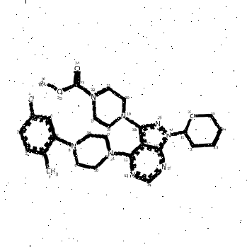 Cc1ccc(Cl)cc1N1CCN(c2ncnc3c2c(N2CCN(C(=O)OC(C)(C)C)CC2)nn3C2CCCCO2)CC1